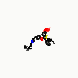 CCCN1CC(=Cc2ccc(Oc3c(-c4ccccc4C)sc4cc(O)ccc34)cc2)C1